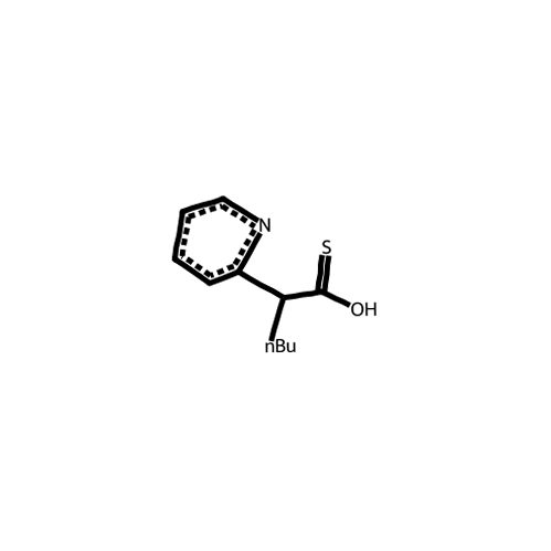 CCCCC(C(O)=S)c1ccccn1